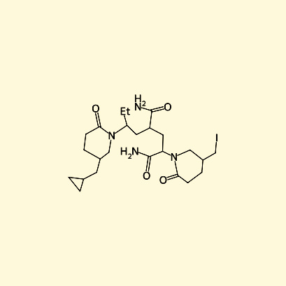 CCC(CC(CC(C(N)=O)N1CC(CI)CCC1=O)C(N)=O)N1CC(CC2CC2)CCC1=O